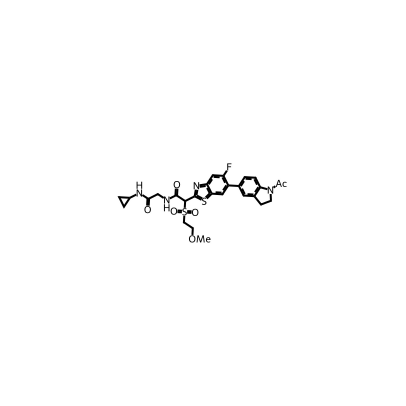 COCCS(=O)(=O)C(C(=O)NCC(=O)NC1CC1)c1nc2cc(F)c(-c3ccc4c(c3)CCN4C(C)=O)cc2s1